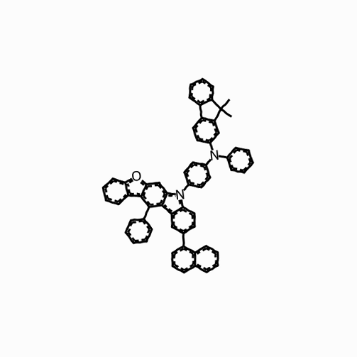 CC1(C)c2ccccc2-c2ccc(N(c3ccccc3)c3ccc(-n4c5ccc(-c6cccc7ccccc67)cc5c5c(-c6ccccc6)c6c(cc54)oc4ccccc46)cc3)cc21